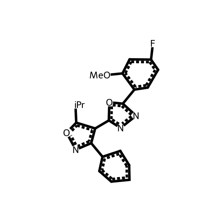 COc1cc(F)ccc1-c1nnc(-c2c(-c3ccccc3)noc2C(C)C)o1